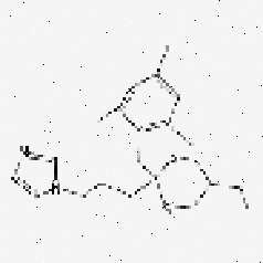 CCC1CSC(CCCn2ccnc2)(Cc2c(C)cc(C)cc2C)SC1